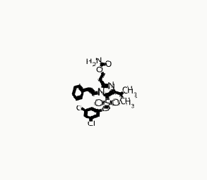 CC(C)c1nc(CCOC(N)=O)n(C=Cc2ccccc2)c1S(=O)(=O)Oc1cc(Cl)cc(Cl)c1